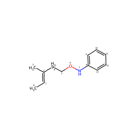 CC=C(C)[SiH2]CONc1ccccc1